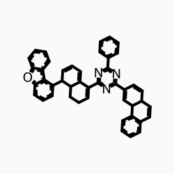 C1=CC(c2cccc3oc4ccccc4c23)C2CCC=C(c3nc(C4=CC5c6ccccc6C=CC5C=C4)nc(-c4ccccc4)n3)C2=C1